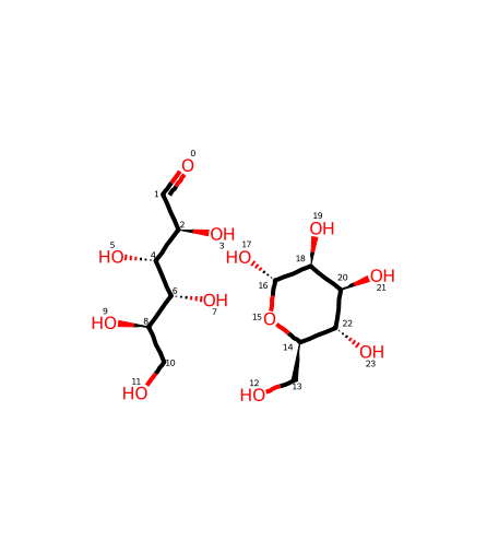 O=C[C@@H](O)[C@@H](O)[C@H](O)[C@H](O)CO.OC[C@H]1O[C@H](O)[C@@H](O)[C@@H](O)[C@@H]1O